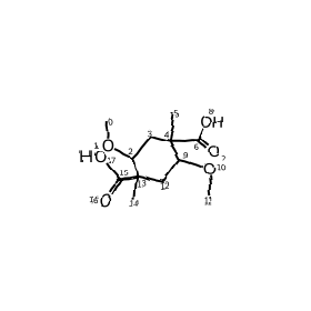 COC1CC(C)(C(=O)O)C(OC)CC1(C)C(=O)O